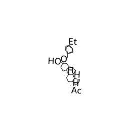 CCc1ccc(COC2(O)CC[C@@]3(C)C(=CC[C@H]4[C@@H]5CC[C@H](C(C)=O)[C@@]5(C)CC[C@@H]43)C2)cc1